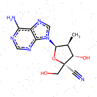 C[C@@H]1[C@H](n2cnc3c(N)ncnc32)O[C@](C#N)(CO)[C@H]1O